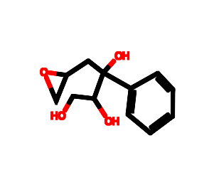 OCC(O)C(O)(CC1CO1)c1ccccc1